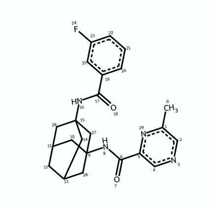 Cc1cncc(C(=O)NC23CC4CC(CC(NC(=O)c5cccc(F)c5)(C4)C2)C3)n1